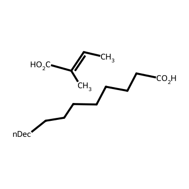 CC=C(C)C(=O)O.CCCCCCCCCCCCCCCCCC(=O)O